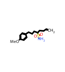 C=CCCC(CCCc1ccc(OC)cc1)S(N)(=O)=O